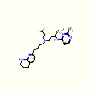 O=C(O)C(CCN(CCCCc1ccc2c(n1)NCCC2)CCC(F)F)Nc1ccnc(C(F)(F)F)n1